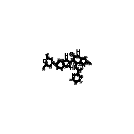 CC1CN(c2ccc3nc(-c4c(NC(C)c5ncccn5)c5nn(C)cc5[nH]c4=O)[nH]c3c2)CC(C)O1